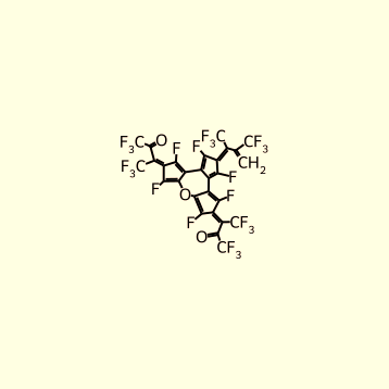 C=C(/C(=c1/c(F)c2c3c(F)/c(=C(\C(=O)C(F)(F)F)C(F)(F)F)c(F)c3oc3c(F)/c(=C(\C(=O)C(F)(F)F)C(F)(F)F)c(F)c3c2c1F)C(F)(F)F)C(F)(F)F